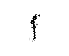 CCCCCCCCCOC(=O)Nc1cccc(-c2ccc(O)cc2)c1